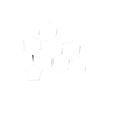 CCn1c(=O)cc(N2CCOCC2)c2cc(N3C(O)CC[C@H]3c3ccccc3)ccc21